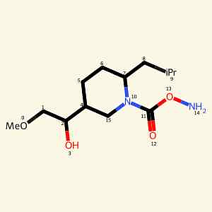 COCC(O)C1CCC(CC(C)C)N(C(=O)ON)C1